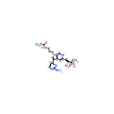 CC(=O)NCCCn1cc(-c2ccnc(N)n2)c2cc(C#CC(C)(C)O)ncc21